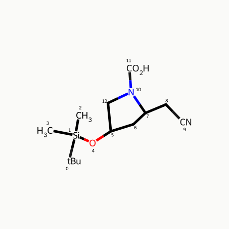 CC(C)(C)[Si](C)(C)OC1CC(CC#N)N(C(=O)O)C1